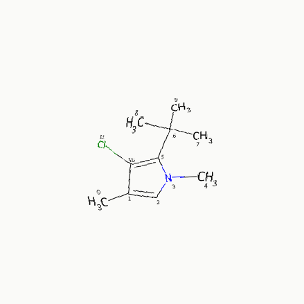 Cc1cn(C)c(C(C)(C)C)c1Cl